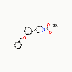 CC(C)(C)OC(=O)N1CCC(c2cccc(OCc3ccccc3)c2)CC1